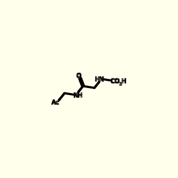 CC(=O)CNC(=O)CNC(=O)O